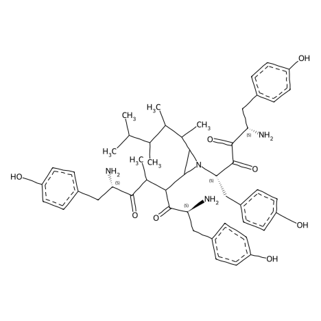 CC(C)C(C)C(C)C(C)C1C(C(C(=O)[C@@H](N)Cc2ccc(O)cc2)C(C)C(=O)[C@@H](N)Cc2ccc(O)cc2)N1[C@@H](Cc1ccc(O)cc1)C(=O)C(=O)[C@@H](N)Cc1ccc(O)cc1